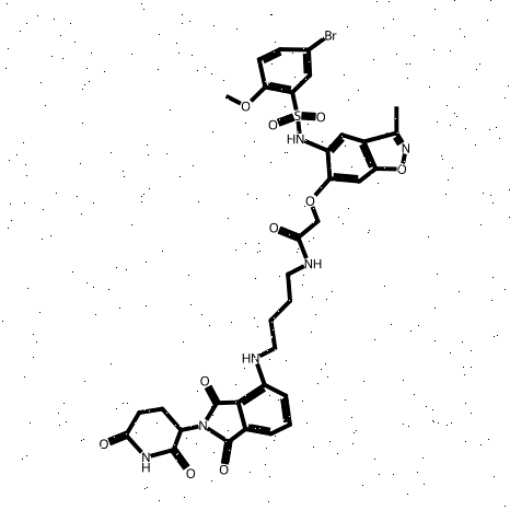 COc1ccc(Br)cc1S(=O)(=O)Nc1cc2c(C)noc2cc1OCC(=O)NCCCCNc1cccc2c1C(=O)N(C1CCC(=O)NC1=O)C2=O